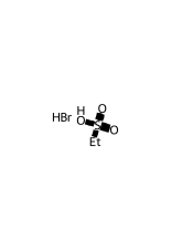 Br.CCS(=O)(=O)O